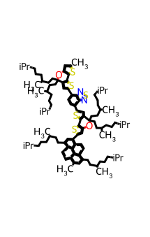 Cc1cc2c(s1)-c1sc(-c3ccc(-c4cc5c(s4)-c4sc(-c6cc(CCC(C)CCCC(C)C)c7ccc8c(C)cc(CCC(C)CCCC(C)C)c9ccc6c7c89)cc4OC5(CCC(C)CCCC(C)C)CCC(C)CCCC(C)C)c4nsnc34)cc1C(CCC(C)CCCC(C)C)(CCC(C)CCCC(C)C)O2